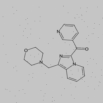 O=C(c1cccnc1)c1nc(CN2CCOCC2)c2ccccn12